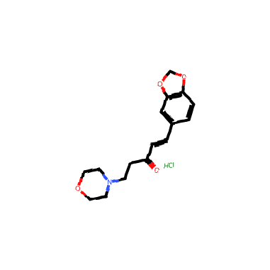 Cl.O=C(C=Cc1ccc2c(c1)OCO2)CCN1CCOCC1